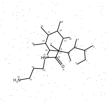 CCC(C)C(C)C(C)C(C)(C(=O)NCCCN)C(C)C(C)C(C)C(C)C(C)C